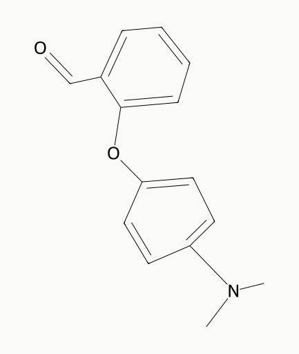 CN(C)c1ccc(Oc2ccccc2C=O)cc1